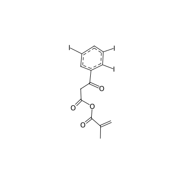 C=C(C)C(=O)OC(=O)CC(=O)c1cc(I)cc(I)c1I